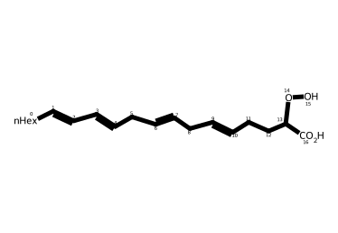 CCCCCCC=CC=CCC=CCC=CCCC(OO)C(=O)O